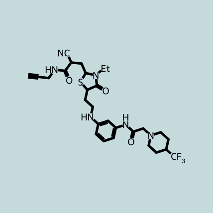 C#CCNC(=O)C(C#N)CC1SC(CCNc2cccc(NC(=O)CN3CCC(C(F)(F)F)CC3)c2)C(=O)N1CC